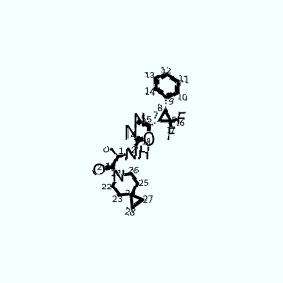 C[C@@H](Nc1nnc([C@@H]2[C@H](c3ccccc3)C2(F)F)o1)C(=O)N1CCC2(CC1)CC2